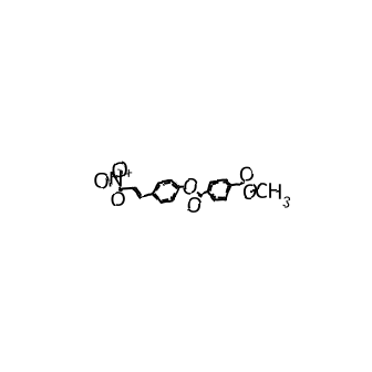 COC(=O)c1ccc(C(=O)Oc2ccc(/C=C/C(=O)[N+](=O)[O-])cc2)cc1